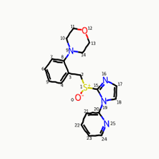 [O-][S+](Cc1ccccc1N1CCOCC1)c1nccn1-c1ccccn1